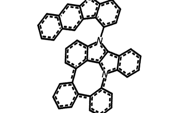 c1ccc2cc3c(cc2c1)oc1cccc(-n2c4cccc5c6ccccc6c6ccccc6n6c7ccccc7c2c6c54)c13